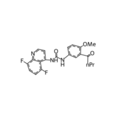 CCCC(=O)c1cc(NC(=O)Nc2ccnc3c(F)ccc(F)c23)ccc1OC